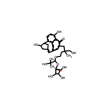 CC(CO)(CCOC(OC1(CO)CC(O)C1O)C(C)(C)O)Cc1cc2cc3c(ccc(O)c3c1=O)C1C/C(=C/2)CC1O